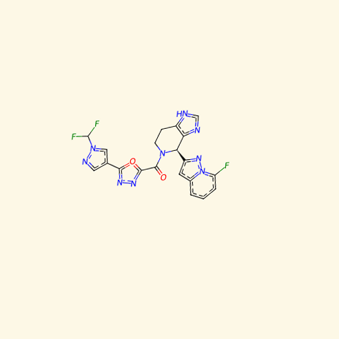 O=C(c1nnc(-c2cnn(C(F)F)c2)o1)N1CCc2[nH]cnc2[C@H]1c1cc2cccc(F)n2n1